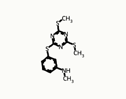 CNc1cccc(Sc2nc(SC)nc(SC)n2)c1